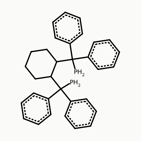 PC(c1ccccc1)(c1ccccc1)C1CCCCC1C(P)(c1ccccc1)c1ccccc1